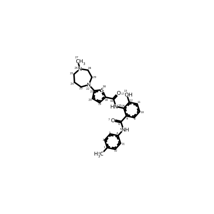 Cc1ccc(NC(=O)c2cccc(O)c2NC(=O)c2ccc(N3CCCN(C)CC3)s2)cc1